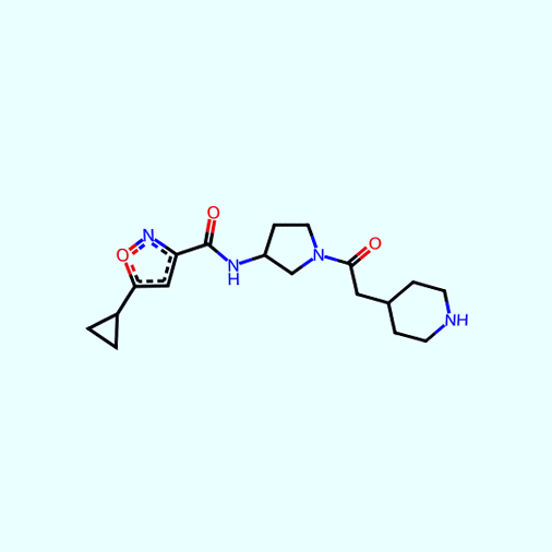 O=C(NC1CCN(C(=O)CC2CCNCC2)C1)c1cc(C2CC2)on1